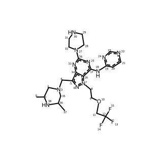 CC1CN(Cc2nn(CCOCC(F)(F)F)c3c(Nc4ccncn4)nc(N4CCNCC4)nc23)CC(C)N1